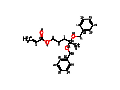 C=CC(=O)OCCC[Si](CC)(OCc1ccccc1)OCc1ccccc1